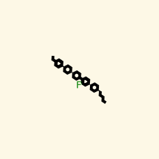 CCCCC[C@H]1CC[C@H](c2ccc(C3CCC([C@H]4CC[C@H](c5ccc(CC)cc5)CC4)CC3)c(F)c2)CC1